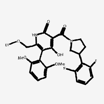 CCOCc1[nH]c(=O)c(C(=O)N2CCC(c3c(F)cccc3F)C2)c(O)c1-c1c(OC)cccc1OC